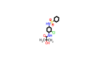 CC(C)(O)C(=O)Nc1ccc(NS(=O)(=O)c2ccccc2)cc1Cl